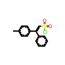 Cc1ccc(C(=CS(=O)(=O)Cl)c2ccccc2)cc1